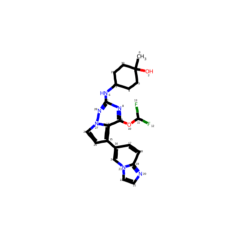 CC1(O)CCC(Nc2nc(OC(F)F)c3c(-c4ccc5nccn5c4)ccn3n2)CC1